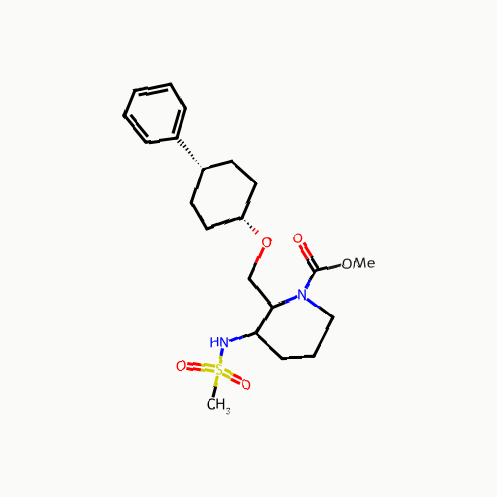 COC(=O)N1CCCC(NS(C)(=O)=O)C1CO[C@H]1CC[C@@H](c2ccccc2)CC1